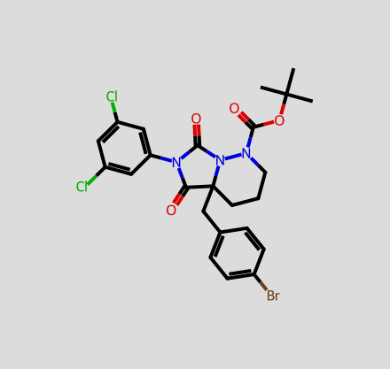 CC(C)(C)OC(=O)N1CCCC2(Cc3ccc(Br)cc3)C(=O)N(c3cc(Cl)cc(Cl)c3)C(=O)N12